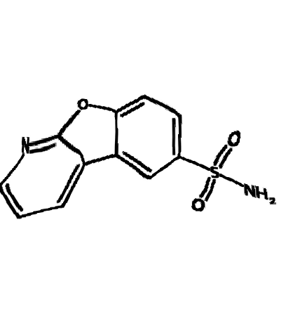 NS(=O)(=O)c1ccc2oc3ncccc3c2c1